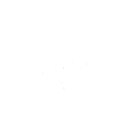 CC(=O)c1ccc2[nH]cc(CCNC(=O)c3ccccc3-c3cnco3)c2c1